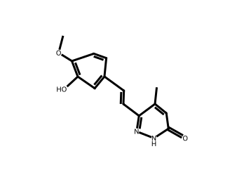 COc1ccc(/C=C/c2n[nH]c(=O)cc2C)cc1O